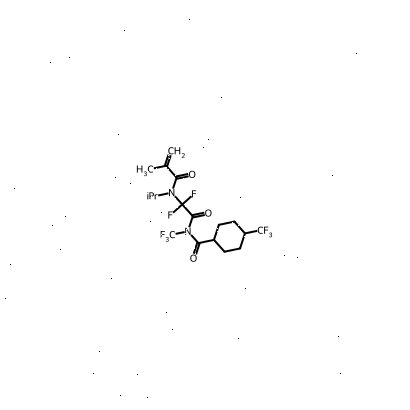 C=C(C)C(=O)N(C(C)C)C(F)(F)C(=O)N(C(=O)C1CCC(C(F)(F)F)CC1)C(F)(F)F